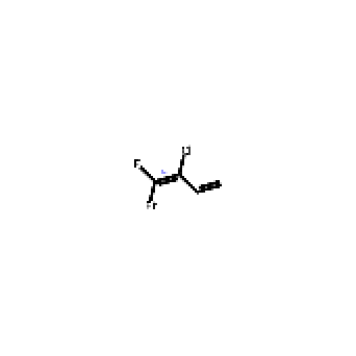 C=C/C(Cl)=C(/F)CC